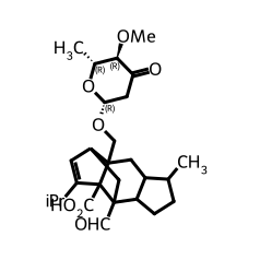 CO[C@H]1C(=O)C[C@H](OCC23CC4C(C)CCC4C4(C=O)CC2C=C(C(C)C)C43C(=O)O)O[C@@H]1C